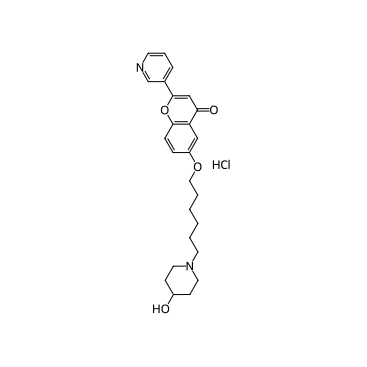 Cl.O=c1cc(-c2cccnc2)oc2ccc(OCCCCCCN3CCC(O)CC3)cc12